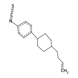 C=CCCC1CCC(c2ccc(N=C=S)cc2)CC1